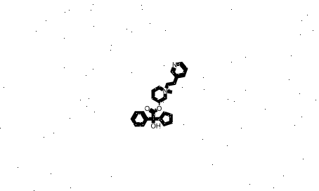 C[N+]1(CCc2cccnc2)CCC[C@@H](OC(=O)C(O)(c2ccccc2)C2CCCC2)C1